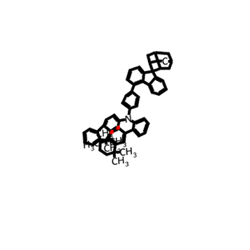 CC1(C)CCC(C)(C)c2cc(-c3ccccc3N(c3ccc(-c4cccc5c4-c4ccccc4C54C5CC6CC7CC4C75C6)cc3)c3ccc4c(c3)C(C)(C)c3ccccc3-4)ccc21